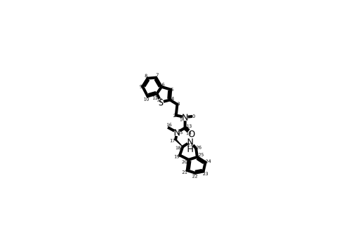 CN(CCc1cc2ccccc2s1)C(=O)N(C)C[C@@H]1Cc2ccccc2CN1